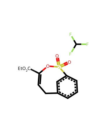 CCOC(=O)C1=CCc2cccc(c2)S(=O)(=O)O1.FC(F)F